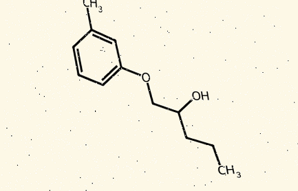 CCCC(O)COc1cccc(C)c1